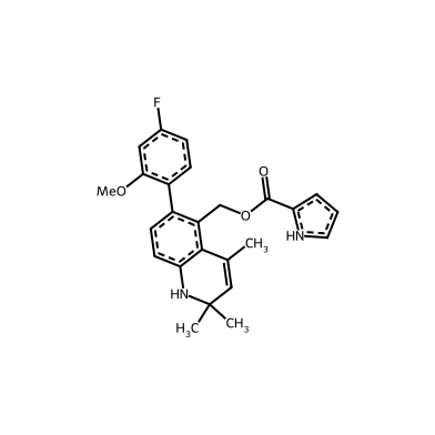 COc1cc(F)ccc1-c1ccc2c(c1COC(=O)c1ccc[nH]1)C(C)=CC(C)(C)N2